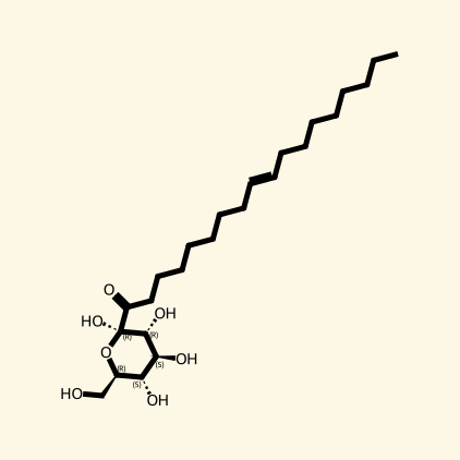 CCCCCCCCC=CCCCCCCCC(=O)[C@]1(O)O[C@H](CO)[C@@H](O)[C@H](O)[C@H]1O